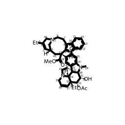 CCC1=C[C@@H]2CN(CCc3c([nH]c4ccccc34)[C@@](C(=O)OC)(c3cc4c(cc3OC)N(C)C3[C@H](O)[C@H](OC(C)=O)[C@]5(CC)C=CCN6CC[C@]43[C@@H]65)C2)C1